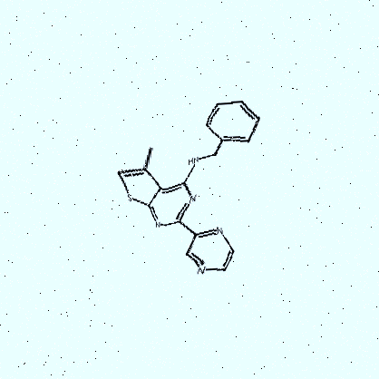 Cc1csc2nc(-c3cnccn3)nc(NCc3ccccc3)c12